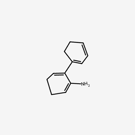 NC1=CCCC=C1C1=CC=CCC1